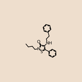 CCCCn1sc(-c2ccccc2)c(NCCc2ccccc2)c1=O